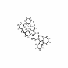 Cc1ccccc1-c1ccccc1C1(C)c2ccccc2Oc2ccc(C3=CCC=C(n4c5c(c6ccccc64)C=CC=CC5)C=C3)cc21